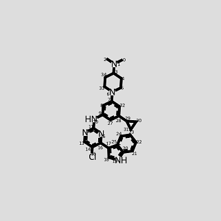 CN(C)C1CCN(c2cc(Nc3ncc(Cl)c(-c4c[nH]c5ccccc45)n3)cc(C3CC3)c2)CC1